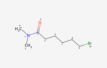 CN(C)C(=O)CCCCCBr